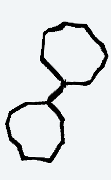 C1CCCC(N2CCCCCCC2)CCC1